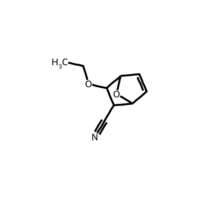 CCOC1C2C=CC(O2)C1C#N